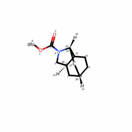 CC(C)(C)OC(=O)N1C[C@@H]2C[C@H]3CCC2[C@@H]1C3